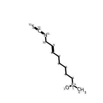 C[S+]([O-])CCCCCC=CCN=C=S